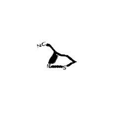 N#CC1=NSC[CH]1